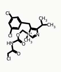 CC(C)C1=C(Cc2cc(Cl)cc(Cl)c2)[N+](C)(COC(=O)NC(=O)CCl)C=N1